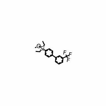 CC[Si](CC)(OC)c1ccc(-c2cccc(C(F)(F)F)c2)cc1